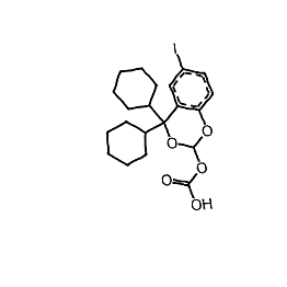 O=C(O)OC1Oc2ccc(I)cc2C(C2CCCCC2)(C2CCCCC2)O1